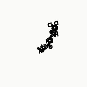 Cc1ncc(CNC(=O)c2ccc(CNS(=O)(=O)c3ccc(Cl)c(Cl)c3)cn2)s1